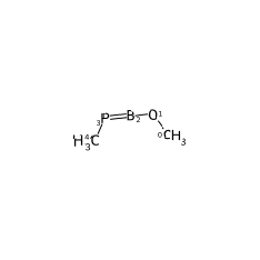 COB=PC